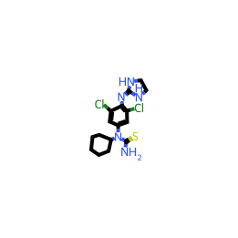 NC(=S)N(c1cc(Cl)c(N=C2NCCN2)c(Cl)c1)C1CCCCC1